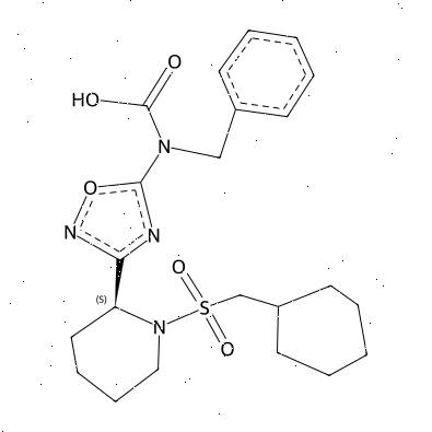 O=C(O)N(Cc1ccccc1)c1nc([C@@H]2CCCCN2S(=O)(=O)CC2CCCCC2)no1